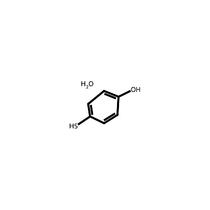 O.Oc1ccc(S)cc1